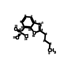 CCCCc1nc2cccc(S(=O)(=O)Cl)c2o1